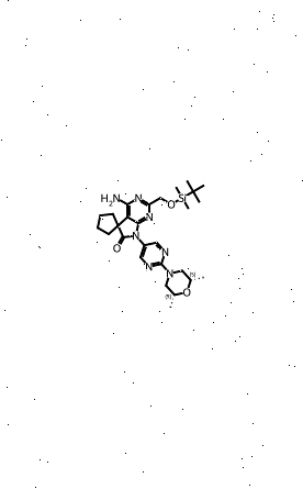 C[C@@H]1CN(c2ncc(N3C(=O)C4(CCCC4)c4c(N)nc(CO[Si](C)(C)C(C)(C)C)nc43)cn2)C[C@H](C)O1